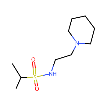 CC(C)S(=O)(=O)NCCN1CCCCC1